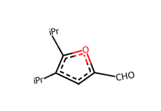 CC(C)c1cc(C=O)oc1C(C)C